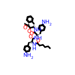 CCCCCC(=O)N[C@@H](Cc1ccc(N)cc1)C(=O)N[C@@H](Cc1ccc(N)cc1)C(=O)N[C@@H](Cc1ccccc1)C(=O)[C@@]1(C)CO1